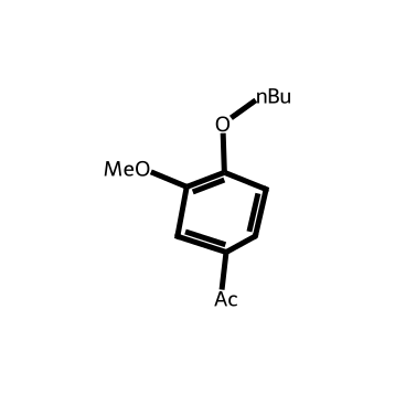 CCCCOc1ccc(C(C)=O)cc1OC